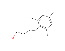 Cc1cc(C)c(CCCC[O])c(C)c1